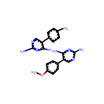 COc1ccc(-c2cnc(N)nc2N)cc1.Cc1ccc(-c2cnc(N)nc2N)cc1